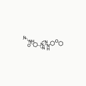 CN(C)CCNC(=O)c1ccc(C2CN=C3C(Nc4ccc(Oc5ccccc5)cc4)=NC=CN32)cc1